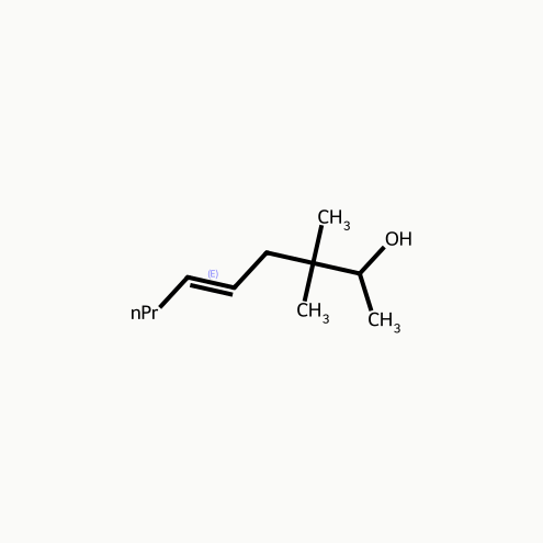 CCC/C=C/CC(C)(C)C(C)O